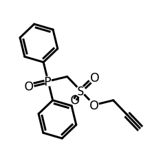 C#CCOS(=O)(=O)CP(=O)(c1ccccc1)c1ccccc1